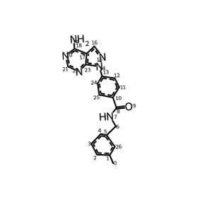 Cc1cccc(CNC(=O)c2ccc(-n3ncc4c(N)ncnc43)cc2)c1